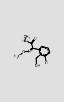 CNC(=O)/C(=N\OC)c1cccc(Cl)c1CO